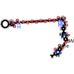 COc1cc2c(cc1OCCCOc1cc3c(cc1OC)C(=O)N1C=C(C4CC4)C[C@H]1C=N3)N=C[C@@H]1CC(c3ccc(NC(=O)[C@H](C)NC(=O)C(NC(=O)CCOCCOCCOCCOCCOCCOCCOCCOCCNC(=O)CCN4C(=O)CC(C5CCCCCCCCCCCC5)C4=O)C(C)C)cc3)=CN1C2=O